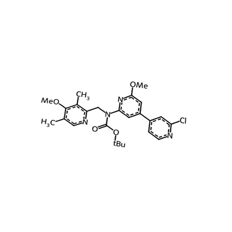 COc1cc(-c2ccnc(Cl)c2)cc(N(Cc2ncc(C)c(OC)c2C)C(=O)OC(C)(C)C)n1